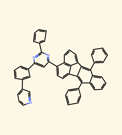 c1ccc(-c2nc(-c3cccc(-c4cccnc4)c3)cc(-c3ccc4c5c(cccc35)-c3c-4c(-c4ccccc4)c4ccccc4c3-c3ccccc3)n2)cc1